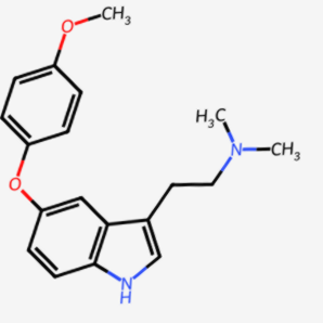 COc1ccc(Oc2ccc3[nH]cc(CCN(C)C)c3c2)cc1